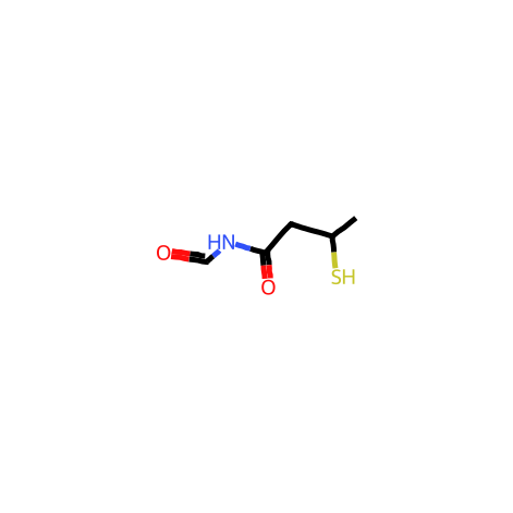 CC(S)CC(=O)NC=O